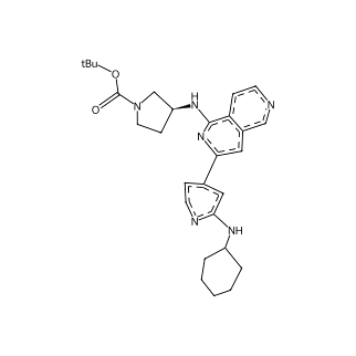 CC(C)(C)OC(=O)N1CC[C@H](Nc2nc(-c3ccnc(NC4CCCCC4)c3)cc3cnccc23)C1